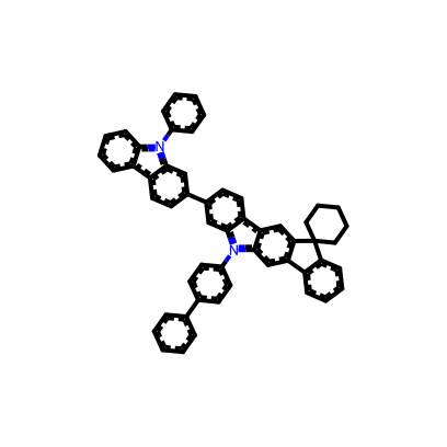 c1ccc(-c2ccc(-n3c4cc(-c5ccc6c7ccccc7n(-c7ccccc7)c6c5)ccc4c4cc5c(cc43)-c3ccccc3C53CCCCC3)cc2)cc1